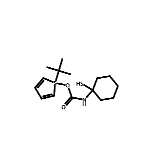 CC(C)(C)S1(OC(=O)NC2(S)CCCCC2)C=CC=C1